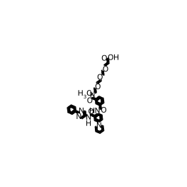 CN(CCOCCOCCOCCC(=O)O)C(=O)c1cccc(C(=O)Nc2ccc(N3CCCCC3)cc2C(=O)Nc2cnc(-c3ccccc3)nc2)c1